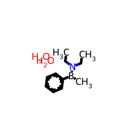 CCN(CC)B(C)c1ccccc1.O.O